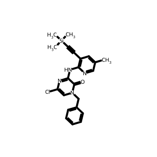 Cc1cnc(Nc2nc(Cl)cn(Cc3ccccc3)c2=O)c(C#C[Si](C)(C)C)c1